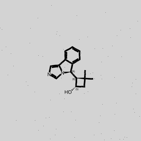 CC1(C)C[C@H](O)[C@H]1[C@@H]1c2ccccc2-c2cncn21